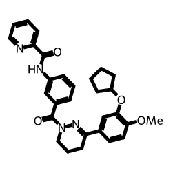 COc1ccc(C2=NN(C(=O)c3cccc(NC(=O)c4ccccn4)c3)CCC2)cc1OC1CCCC1